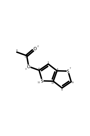 CC(=O)Oc1cc2sccc2s1